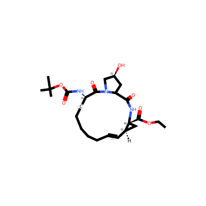 CCOC(=O)[C@@]12C[C@H]1/C=C/CCCCC[C@H](NC(=O)OC(C)(C)C)C(=O)N1C[C@@H](O)CC1C(=O)N2